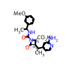 COc1cccc(C(C)NC(=O)N2C(=O)[C@H]([C@@H](C)c3ccnc(N)c3)[C@H]2C(=O)O)c1